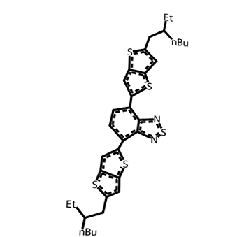 CCCCC(CC)Cc1cc2sc(-c3ccc(-c4cc5sc(CC(CC)CCCC)cc5s4)c4nsnc34)cc2s1